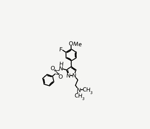 COc1ccc(-c2cn(CCN(C)C)nc2NS(=O)(=O)c2ccccc2)cc1F